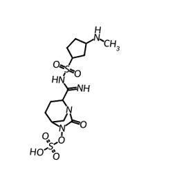 CNC1CCC(S(=O)(=O)NC(=N)C2CCC3CN2C(=O)N3OS(=O)(=O)O)C1